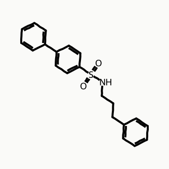 O=S(=O)(NCCCc1ccccc1)c1ccc(-c2ccccc2)cc1